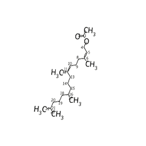 CC(=O)OC/C=C(/C)CCC=C(C)CCCC(C)CCCC(C)C